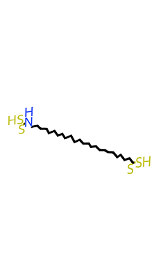 S=C(S)CCCCCCCCCCCCCCCCCCCCCCCCNC(=S)S